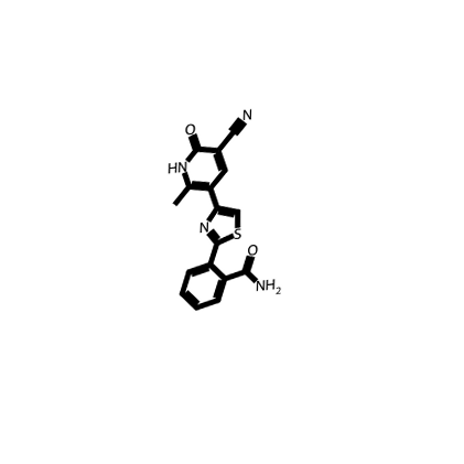 Cc1[nH]c(=O)c(C#N)cc1-c1csc(-c2ccccc2C(N)=O)n1